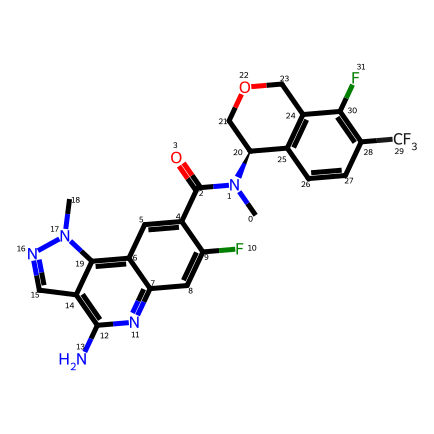 CN(C(=O)c1cc2c(cc1F)nc(N)c1cnn(C)c12)[C@H]1COCc2c1ccc(C(F)(F)F)c2F